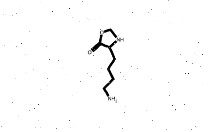 NCCCCC1NCOC1=O